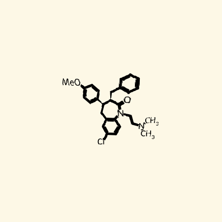 COc1ccc([C@@H]2Cc3cc(Cl)ccc3N(CCN(C)C)C(=O)[C@@H]2Cc2ccccc2)cc1